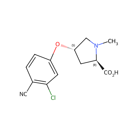 CN1C[C@@H](Oc2ccc(C#N)c(Cl)c2)C[C@@H]1C(=O)O